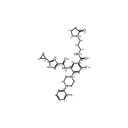 Cc1ccccc1N1CCN(c2cc(F)c(C(=O)NCCCN3CCCC3=O)cc2NC(=O)c2coc(C3CC3)n2)CC1